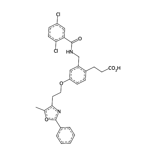 Cc1oc(-c2ccccc2)nc1CCOc1ccc(CCC(=O)O)c(CNC(=O)c2cc(Cl)ccc2Cl)c1